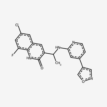 CC(Nc1cc(-c2cnoc2)ccn1)c1cc2cc(Cl)cc(F)c2[nH]c1=O